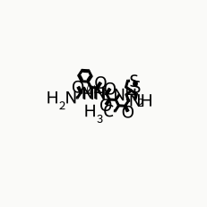 CCC(C(=O)C1CC2(CCSS2)CN1)C(N)C(=O)C(=O)NC(=O)[C@@H](NC(=O)CN)c1ccccc1